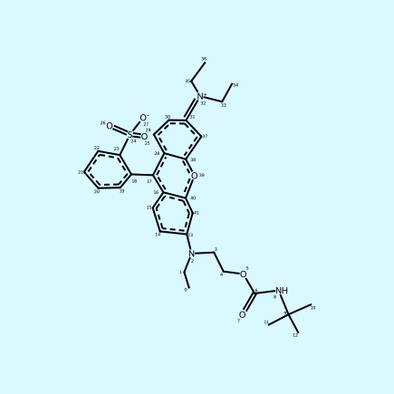 CCN(CCOC(=O)NC(C)(C)C)c1ccc2c(-c3ccccc3S(=O)(=O)[O-])c3ccc(=[N+](CC)CC)cc-3oc2c1